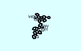 OB(O)c1cc2c(c3ccccc13)-c1ccc(-c3ccccc3)cc1C21c2ccccc2-c2c(-c3ccc4c(B(O)O)cc5c(c4c3)-c3ccccc3C53c4ccccc4-c4c3ccc3c4oc4ccccc43)cccc21